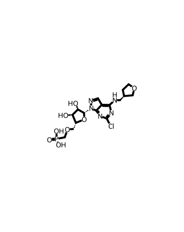 O=P(O)(O)COC[C@H]1O[C@@H](n2ncc3c(NC[C@H]4CCOC4)nc(Cl)nc32)[C@H](O)[C@@H]1O